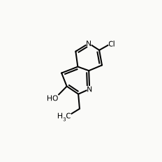 CCc1nc2cc(Cl)ncc2cc1O